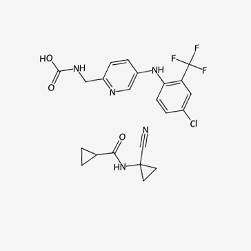 N#CC1(NC(=O)C2CC2)CC1.O=C(O)NCc1ccc(Nc2ccc(Cl)cc2C(F)(F)F)cn1